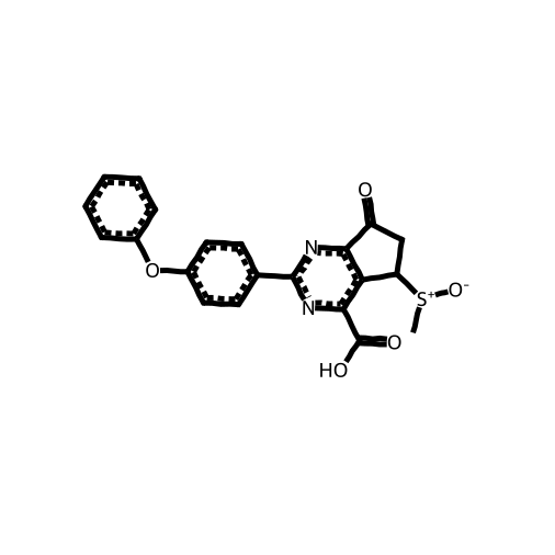 C[S+]([O-])C1CC(=O)c2nc(-c3ccc(Oc4ccccc4)cc3)nc(C(=O)O)c21